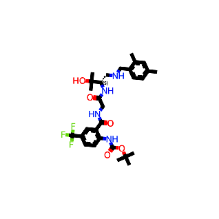 Cc1ccc(CNC[C@H](NC(=O)CNC(=O)c2cc(C(F)(F)F)ccc2NC(=O)OC(C)(C)C)C(C)(C)O)c(C)c1